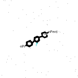 CCCCC[SiH]1CCC(c2ccc(-c3ccc(CCC)cc3)c(F)c2)CC1